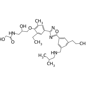 CCCc1cc(CNCC(C)C)cc(-c2nc(-c3cc(C)c(OCC(O)CNC(=O)CO)c(CC)c3)no2)c1